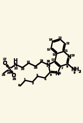 CCCCCc1nc2c(N)nc3ccccc3c2n1CCCCNS(C)(=O)=O